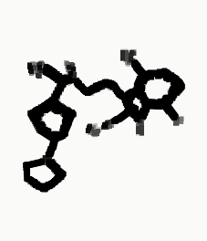 C=C(NCCc1c(C)[nH]c2c(F)ccc(C)c12)c1ccc(N2CCCC2)cc1